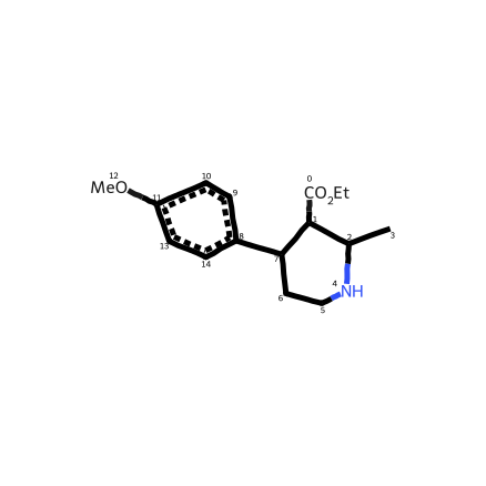 CCOC(=O)C1C(C)NCCC1c1ccc(OC)cc1